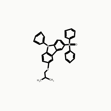 CC(C)CSc1ccc2c(c1)c1cc(P(=O)(c3ccccc3)c3ccccc3)ccc1n2-c1ccccc1